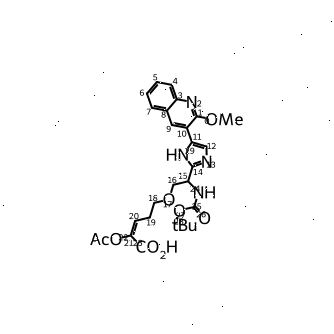 COc1nc2ccccc2cc1-c1cnc(C(COCCC=C(OC(C)=O)C(=O)O)NC(=O)OC(C)(C)C)[nH]1